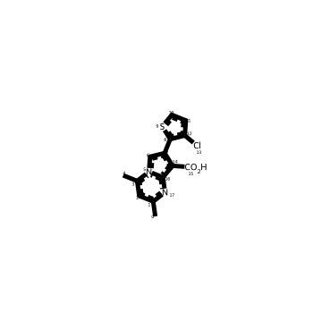 Cc1cc(C)n2cc(-c3sccc3Cl)c(C(=O)O)c2n1